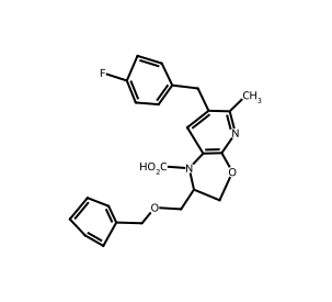 Cc1nc2c(cc1Cc1ccc(F)cc1)N(C(=O)O)C(COCc1ccccc1)CO2